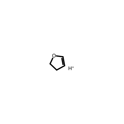 C1=COCC1.[H+]